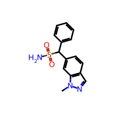 Cn1ncc2ccc(C(c3ccccc3)S(N)(=O)=O)cc21